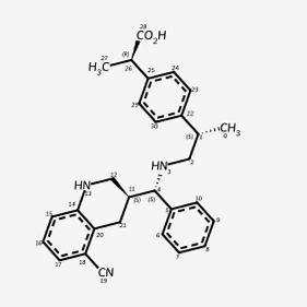 C[C@H](CN[C@H](c1ccccc1)[C@@H]1CNc2cccc(C#N)c2C1)c1ccc([C@@H](C)C(=O)O)cc1